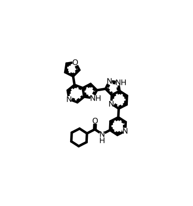 O=C(Nc1cncc(-c2ccc3[nH]nc(-c4cc5c(-c6ccoc6)cncc5[nH]4)c3n2)c1)C1CCCCC1